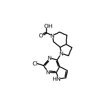 O=C(O)N1CCC2CCN(c3nc(Cl)nc4[nH]ccc34)C2C1